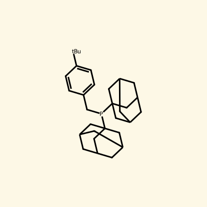 CC(C)(C)c1ccc(CP(C23CC4CC(CC(C4)C2)C3)C23CC4CC(CC(C4)C2)C3)cc1